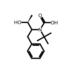 C[C@H](O)C(Cc1ccccc1)N(C(=O)O)C(C)(C)C